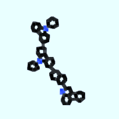 c1ccc(-n2c3ccccc3c3cc(-c4ccc5c(c4)c4ccc(-c6ccc7cc(-c8cc9c%10c(cccc%10n8)-c8ccccc8-9)ccc7c6)cc4n5-c4ccccc4)ccc32)cc1